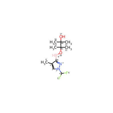 Cc1cn(C(F)F)nc1BOC(C)(C)C(C)(C)O